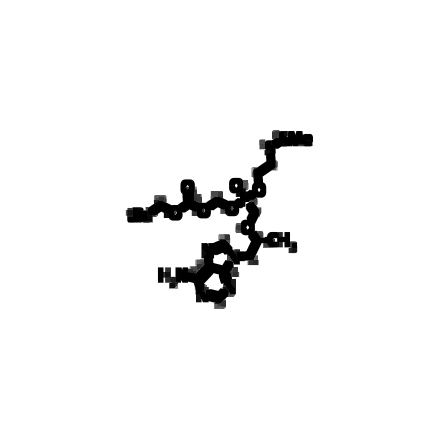 CSSCCOP(=O)(CO[C@H](C)Cn1cnc2c(N)ncnc21)OCOC(=O)OCC(C)(C)C